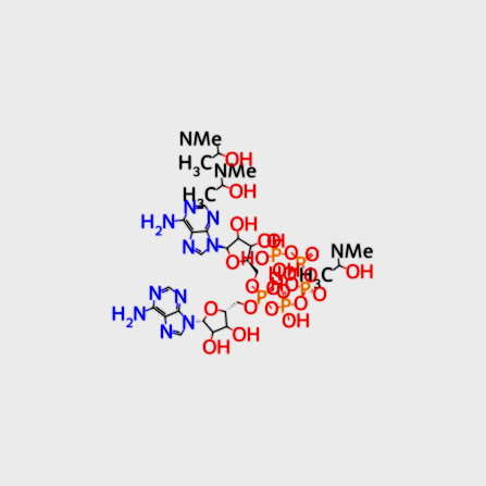 CNC(C)O.CNC(C)O.CNC(C)O.Nc1ncnc2c1ncn2[C@@H]1O[C@H](COP(=O)(OC[C@H]2O[C@@H](n3cnc4c(N)ncnc43)C(O)C2O)OP(=O)(O)OP(=O)(O)OP(=O)(O)OP(=O)(O)O)C(O)C1O